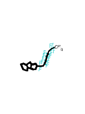 FC(F)(CC(F)(F)C(F)(F)C(F)(F)C(F)(F)CC(F)(F)C(F)(F)C(F)(F)F)c1ccc2c(c1)Cc1ccccc1-2